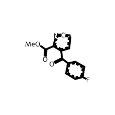 COC(=O)c1ncccc1C(=O)c1ccc(F)cc1